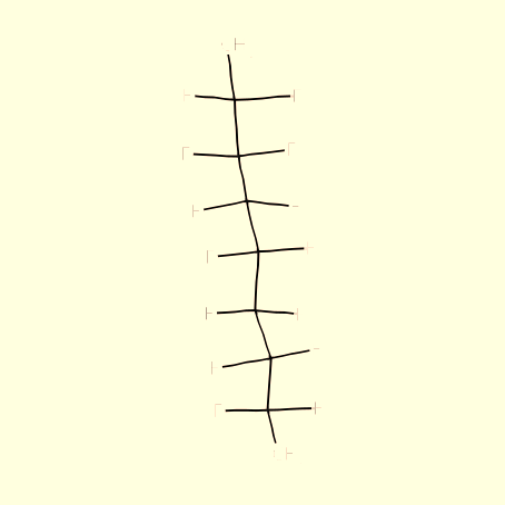 [CH2]C(F)(F)C(F)(F)C(F)(F)C(F)(F)C(F)(F)C(F)(F)C(F)(F)C(F)(F)F